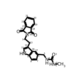 CNC(=O)NCc1ccc2[nH]cc(CCN3C(=O)c4ccccc4C3=O)c2c1